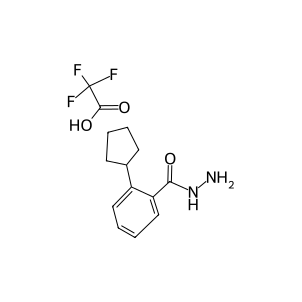 NNC(=O)c1ccccc1C1CCCC1.O=C(O)C(F)(F)F